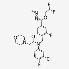 C=N/N=C(\OCC(F)F)c1ccc(CN(C(=O)CN2CCOCC2)c2ccc(F)c(Cl)c2)c(F)c1